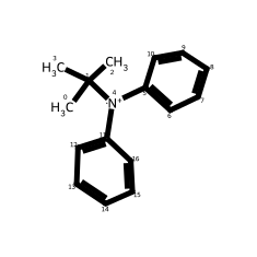 CC(C)(C)[N+](c1ccccc1)c1ccccc1